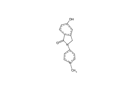 C[n+]1ccc(N2Cc3cc(O)ccc3C2=O)cc1